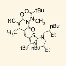 CCCCC(CC)CN(CC(CC)CCCC)c1nc(C(C)(C)C)c(/C=C2\C(=O)N(N(C)C(=O)C(C)(C)C)C(=O)C(C#N)=C2C)s1